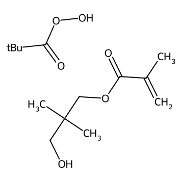 C=C(C)C(=O)OCC(C)(C)CO.CC(C)(C)C(=O)OO